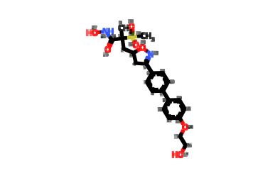 CC(CC1CC(c2ccc(-c3ccc(OCCO)cc3)cc2)=NO1)(C(=O)NO)S(C)(=O)=O